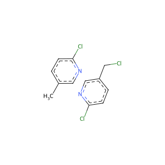 Cc1ccc(Cl)nc1.ClCc1ccc(Cl)nc1